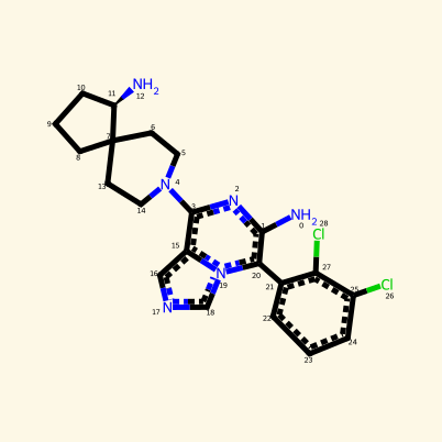 Nc1nc(N2CCC3(CCC[C@H]3N)CC2)c2cncn2c1-c1cccc(Cl)c1Cl